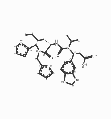 CCCC[C@H](NC(=O)N(C(C)C)[C@@H](CC(=O)O)c1ccc2c(c1)OCO2)C(=O)N(Cc1cccs1)Cc1cccs1